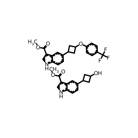 COC(=O)c1c[nH]c2ccc(C3CC(O)C3)cc12.COC(=O)c1c[nH]c2ccc(C3CC(Oc4ccc(C(F)(F)F)cc4)C3)cc12